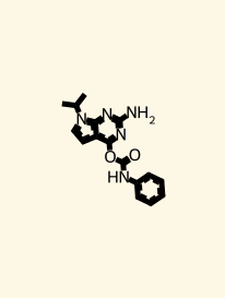 CC(C)n1ccc2c(OC(=O)Nc3ccccc3)nc(N)nc21